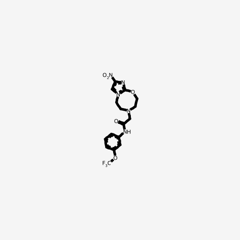 O=C(CN1CCOc2nc([N+](=O)[O-])cn2CC1)Nc1cccc(OC(F)(F)F)c1